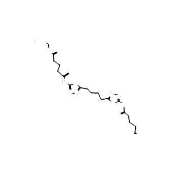 CCOC(=O)CCCC(=O)Nc1nnc(CCCCc2nnc(NC(=O)CCCC=O)s2)s1